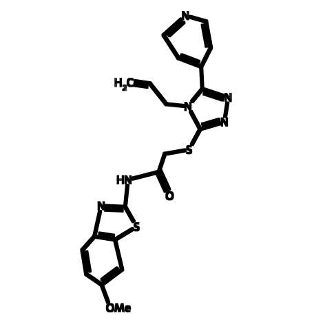 C=CCn1c(SCC(=O)Nc2nc3ccc(OC)cc3s2)nnc1-c1ccncc1